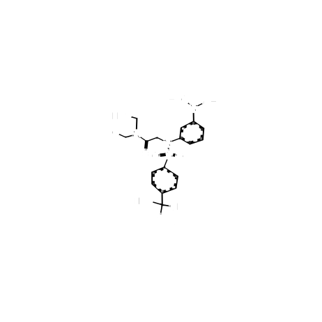 CCN(CC)C(=O)CN(c1cccc(N(C)C)c1)S(=O)(=O)c1ccc(C(C)(C)C)cc1